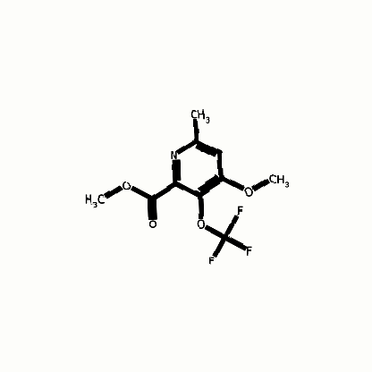 COC(=O)c1nc(C)cc(OC)c1OC(F)(F)F